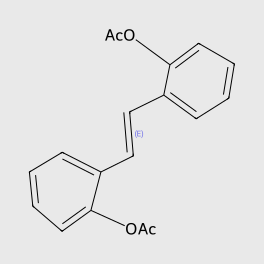 CC(=O)Oc1ccccc1/C=C/c1ccccc1OC(C)=O